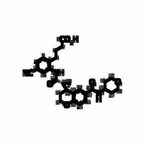 N#Cc1ccc(CCCC(=O)O)c(NC(=O)[C@@H]2C[C@]23CCOc2ccc(C(=O)NC4CCOCC4)cc23)c1